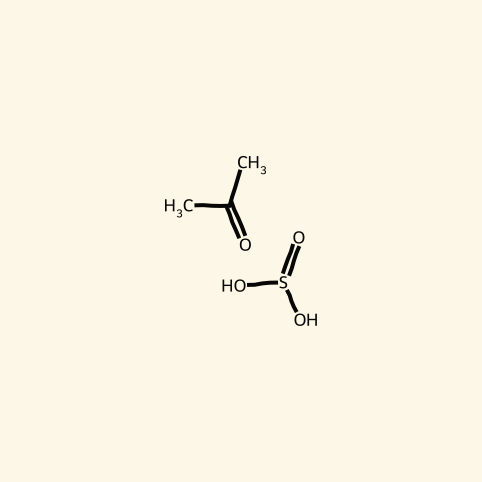 CC(C)=O.O=S(O)O